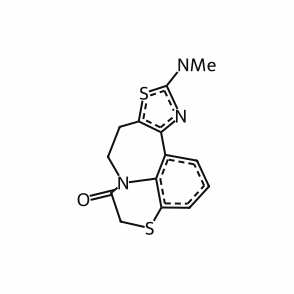 CNc1nc2c(s1)CCN1C(=O)CSc3cccc-2c31